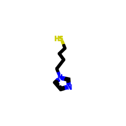 SCCCCn1ccnc1